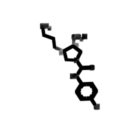 BCCC[C@H]1CN(C(=O)Nc2ccc(Cl)cc2)C[C@H]1C(=O)O